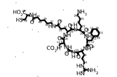 N=C(N)NCCCC1NC(=O)C(Cc2ccccc2)NC(=O)C(CCCCN)NC(=O)C(CCC(=O)NCCCCCC(=O)NC(CS)C(=O)O)NC(=O)C(CC(=O)O)NC(=O)NC1=O